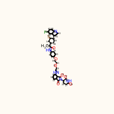 C[C@@H](C(=O)Nc1ccc(OCCOCCNc2cccc3c2C(=O)N(C2CCC(=O)NC2=O)C3=O)cc1)[C@@H]1CC[C@H](c2ccnc3ccc(F)cc23)C(=S)C1